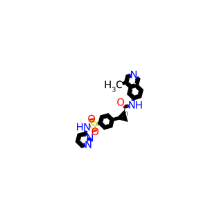 Cc1cncc2ccc(NC(=O)[C@@H]3CC3c3ccc(S(=O)(=O)Nc4cccnn4)cc3)cc12